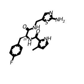 Cc1cc[nH]c1C(=O)N[C@@H](Cc1ccc(F)cc1)C(=O)NCc1cnc(N)s1